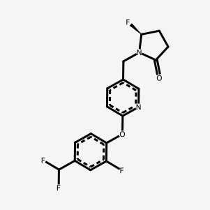 O=C1CC[C@H](F)N1Cc1ccc(Oc2ccc(C(F)F)cc2F)nc1